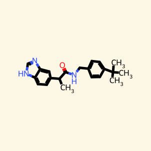 CC(C(=O)NCc1ccc(C(C)(C)C)cc1)c1ccc2[nH]cnc2c1